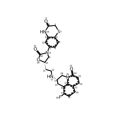 O=C1CSc2ccc(N3C[C@H](CCN[C@H]4Cc5c(F)ccc6ccc(=O)n(c56)C4)OC3=O)cc2N1